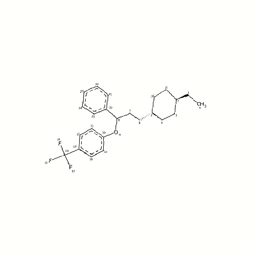 CC[C@H]1CC[C@H](CCC(Oc2ccc(C(F)(F)F)cc2)c2ccccc2)CC1